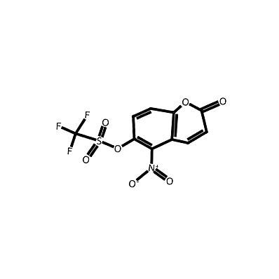 O=c1ccc2c([N+](=O)[O-])c(OS(=O)(=O)C(F)(F)F)ccc2o1